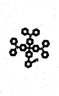 N#Cc1ccccc1-c1ccc(C(c2ccc(N(c3ccccc3)c3ccccc3)cc2)(c2ccc(N(c3ccccc3)c3ccccc3)cc2)c2ccc(N(c3ccccc3)c3ccccc3)cc2)cc1